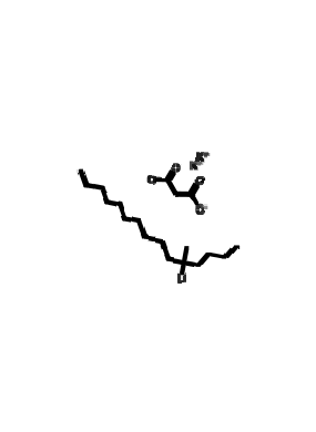 O=C([O-])CC(=O)[O-].[K+].[K+].[Li][C](C)(CCCC)CCCCCCCCCC